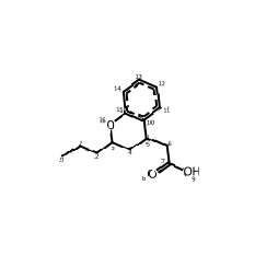 CCCC1CC(CC(=O)O)c2ccccc2O1